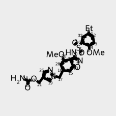 CCc1ccc(OC)c(S(=O)(=O)Nc2noc3cc(Cn4cc(COC(N)=O)cn4)cc(OC)c23)c1